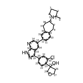 C[C@@H]1CCCN1C1CCc2ccc(-c3cnc4[nH]nc(-c5ccc(C6(O)CCOC6)c(Cl)c5)c4c3)cc2CC1